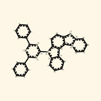 c1ccc(-c2nc(-c3ccccc3)nc(-n3c4ccccc4c4c3ccc3nc5ccccn5c34)n2)cc1